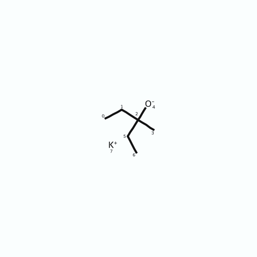 CCC(C)([O-])CC.[K+]